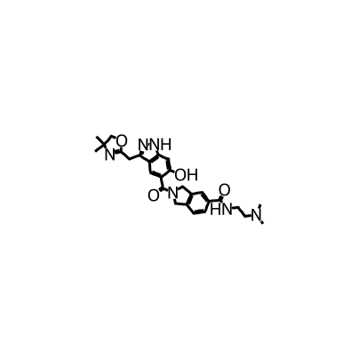 CN(C)CCNC(=O)c1ccc2c(c1)CN(C(=O)c1cc3c(CC4=NC(C)(C)CO4)n[nH]c3cc1O)C2